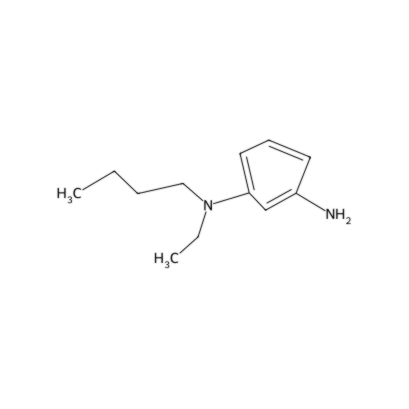 CCCCN(CC)c1cccc(N)c1